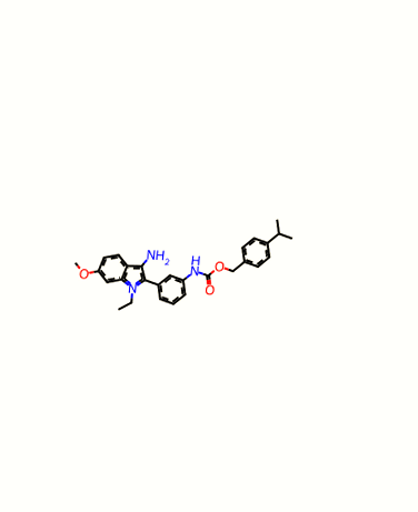 CCn1c(-c2cccc(NC(=O)OCc3ccc(C(C)C)cc3)c2)c(N)c2ccc(OC)cc21